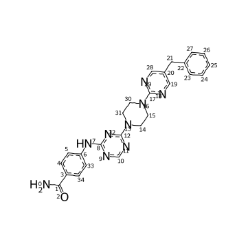 NC(=O)c1ccc(Nc2ncnc(N3CCN(c4ncc(Cc5ccccc5)cn4)CC3)n2)cc1